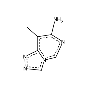 Cc1c(N)ncn2cnnc12